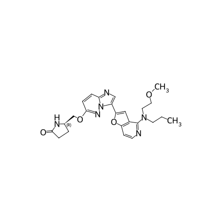 CCCN(CCOC)c1nccc2oc(-c3cnc4ccc(OC[C@H]5CCC(=O)N5)nn34)cc12